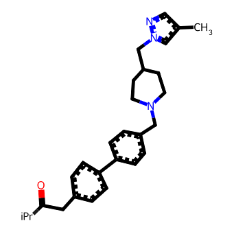 Cc1cnn(CC2CCN(Cc3ccc(-c4ccc(CC(=O)C(C)C)cc4)cc3)CC2)c1